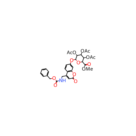 COC(=O)C1OC(Oc2ccc3c(CNC(=O)OCc4ccccc4)cc(=O)oc3c2)C(OC(C)=O)C(OC(C)=O)C1OC(C)=O